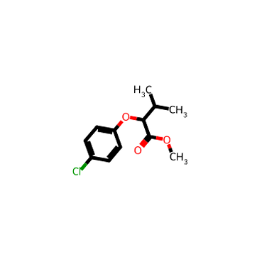 COC(=O)C(Oc1ccc(Cl)cc1)C(C)C